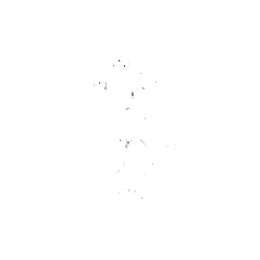 CCc1c(CCC(=O)C(N)N)[nH]c2ccccc12